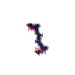 Cc1ccc(NOCc2cc3ccccc3c(N=Nc3ccc(C(C#N)=Cc4ccc(C=C(C#N)c5ccc(N=Nc6c(O)c(C(=O)Nc7ccc(C)cc7C)cc7ccccc67)cc5)cc4)cc3)c2O)c(C)c1